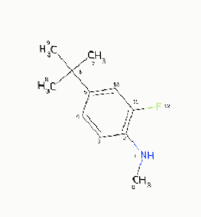 CNc1ccc(C(C)(C)C)cc1F